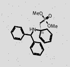 COP(=O)(C[C@@]1(NC(c2ccccc2)c2ccccc2)C=CC=CC1)OC